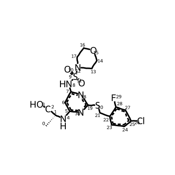 C[C@H](CO)Nc1cc(NS(=O)(=O)N2CCOCC2)nc(SCc2ccc(Cl)cc2F)n1